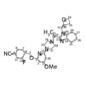 COc1cc(OCc2ccc(C#N)cc2F)nc(N2CCN([C@@H](C)c3nc4ccccc4n3C[C@@H]3CCO3)CC2)c1